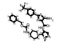 Cn1ncc(NC(=O)c2nc(-c3ccc(C(F)(F)F)cc3)sc2N)c1N1CCC[C@@H](NC(=O)OCc2ccccc2)CC1